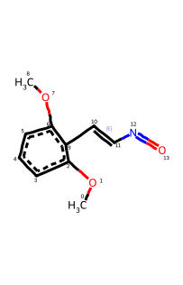 COc1cccc(OC)c1/C=C/N=O